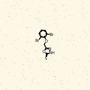 S=c1[nH]nc(COc2c(Br)cccc2Br)o1